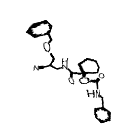 N#CC(CNC(=O)C1(OC(=O)NCc2ccccc2)CCCCC1)COCc1ccccc1